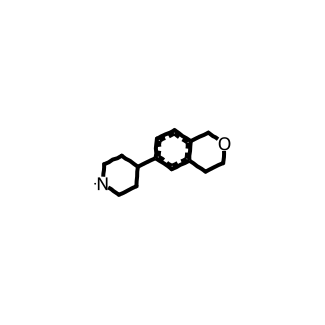 c1cc2c(cc1C1CC[N]CC1)CCOC2